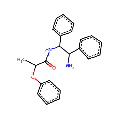 CC(Oc1ccccc1)C(=O)NC(c1ccccc1)C(N)c1ccccc1